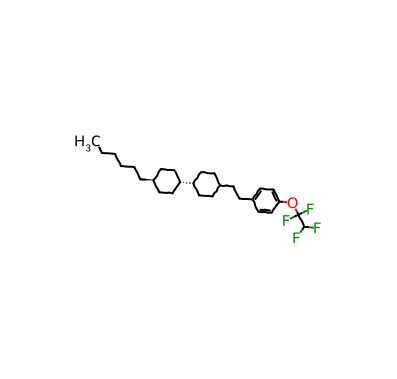 CCCCCC[C@H]1CC[C@H](C2CCC(CCc3ccc(OC(F)(F)C(F)F)cc3)CC2)CC1